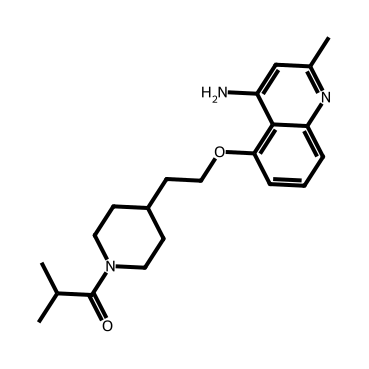 Cc1cc(N)c2c(OCCC3CCN(C(=O)C(C)C)CC3)cccc2n1